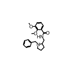 COc1cccc(C(=O)NCC2CCCN2Cc2ccccc2)c1OC